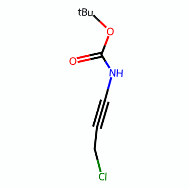 CC(C)(C)OC(=O)NC#CCCl